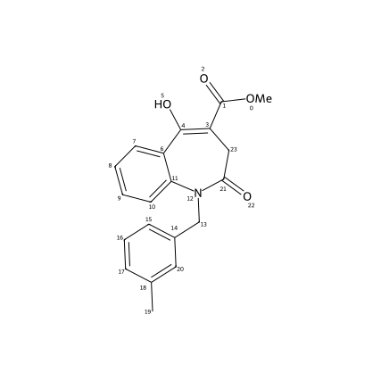 COC(=O)C1=C(O)c2ccccc2N(Cc2cccc(C)c2)C(=O)C1